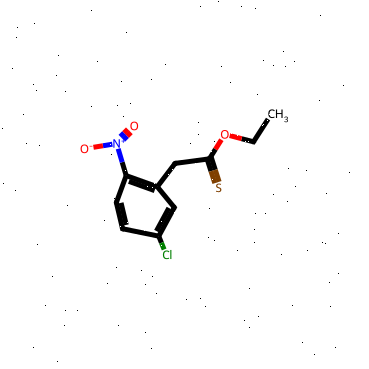 CCOC(=S)Cc1cc(Cl)ccc1[N+](=O)[O-]